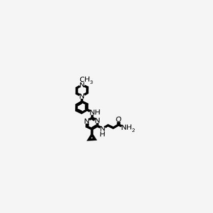 CN1CCN(c2cccc(Nc3ncc(C4CC4)c(NCCC(N)=O)n3)c2)CC1